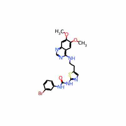 COc1cc2ncnc(NCCc3cnc(NC(=O)Nc4cccc(Br)c4)s3)c2cc1OC